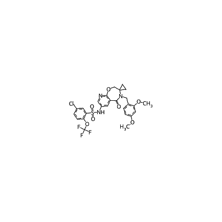 COc1ccc(CN2C(=O)c3cc(NS(=O)(=O)c4cc(Cl)ccc4OC(F)(F)F)cnc3OCC23CC3)c(OC)c1